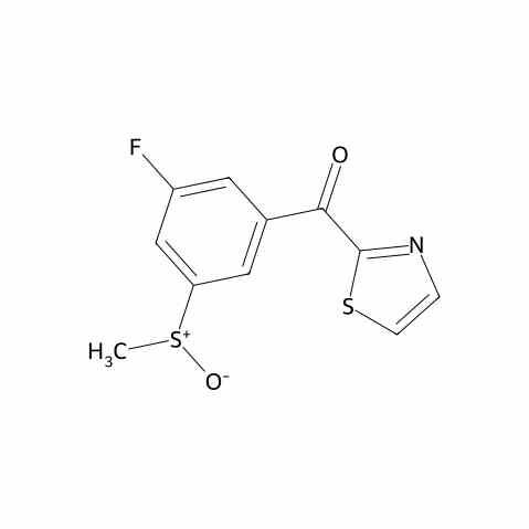 C[S+]([O-])c1cc(F)cc(C(=O)c2nccs2)c1